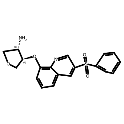 N[C@H]1COC[C@@H]1Oc1cccc2cc(S(=O)(=O)c3ccccc3)cnc12